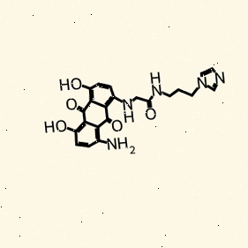 Nc1ccc(O)c2c1C(=O)c1c(NCC(=O)NCCCn3ccnc3)ccc(O)c1C2=O